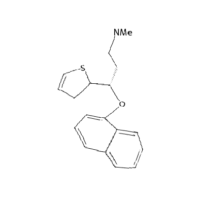 CNCC[C@H](Oc1cccc2ccccc12)C1CC=CS1